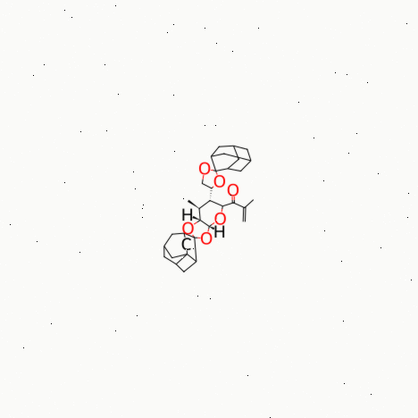 C=C(C)C(=O)C1O[C@@H]2OC3(O[C@@H]2[C@@H](C)[C@@H]1C1COC2(O1)C1CC4CC(C1)CC2C4)C1CC2CC4CC3C4(C2)C1